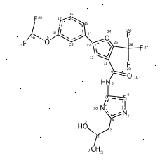 CC(O)Cc1nsc(NC(=O)c2cc(-c3cccc(OC(F)F)c3)oc2C(F)(F)F)n1